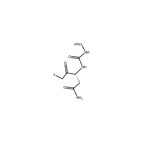 CCCCCCNC(=O)N[C@H](CC(N)=O)C(=O)CF